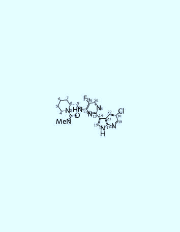 CNC(=O)N1CCCC[C@@H]1CNc1nc(-c2c[nH]c3ncc(Cl)cc23)ncc1F